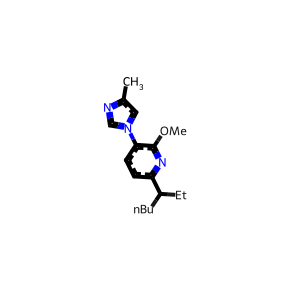 CCCCC(CC)c1ccc(-n2cnc(C)c2)c(OC)n1